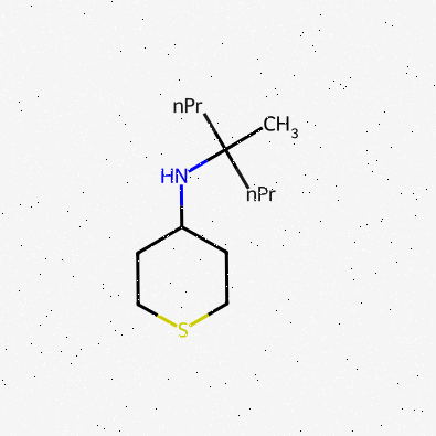 CCCC(C)(CCC)NC1CCSCC1